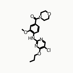 CCCOc1nc(Nc2ccc(C(=O)N3CCOCC3)cc2OC)ncc1Cl